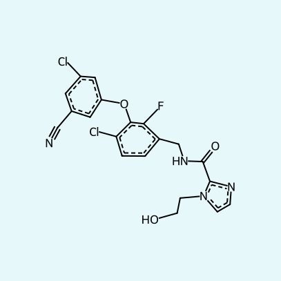 N#Cc1cc(Cl)cc(Oc2c(Cl)ccc(CNC(=O)c3nccn3CCO)c2F)c1